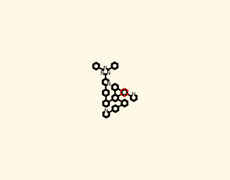 c1ccc(-c2nc(-c3ccccc3)nc(-c3ccc(-c4ccc(-c5ccccc5-c5cc(-c6ccccc6-c6ccc(-c7ccccn7)cc6)c(-c6ccccc6)c(-c6ccccc6-c6ccc(-c7ccccn7)cc6)c5)cc4)nc3)n2)cc1